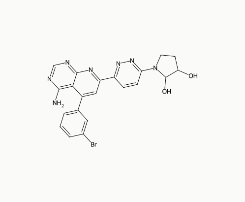 Nc1ncnc2nc(-c3ccc(N4CCC(O)C4O)nn3)cc(-c3cccc(Br)c3)c12